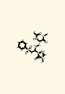 COC(=O)[C@H](CSC(CS(=O)(=O)c1ccccc1)n1ncn(C)c1=O)NC(C)=O